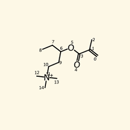 C=C(C)C(=O)OC(CC)CC[N+](C)(C)C